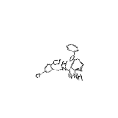 Clc1ccc(Cl)c(CNc2n[nH]c3cccc(Oc4ccccc4)c23)c1